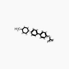 C[C@H]1CC[C@H](c2ccc(-c3ccc(SC(F)F)cc3)cc2)CC1